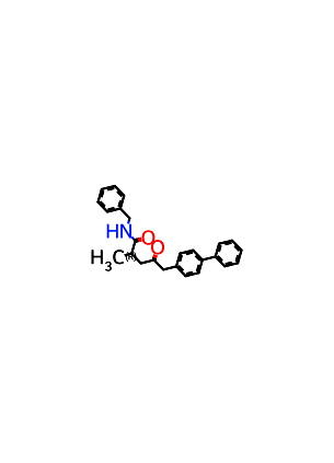 C[C@H](CC(=O)Cc1ccc(-c2ccccc2)cc1)C(=O)NCc1ccccc1